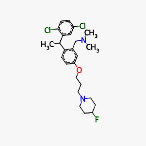 CC(c1cc(Cl)ccc1Cl)c1ccc(OCCCN2CCC(F)CC2)cc1CN(C)C